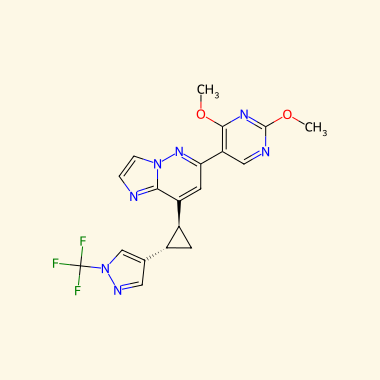 COc1ncc(-c2cc([C@H]3C[C@@H]3c3cnn(C(F)(F)F)c3)c3nccn3n2)c(OC)n1